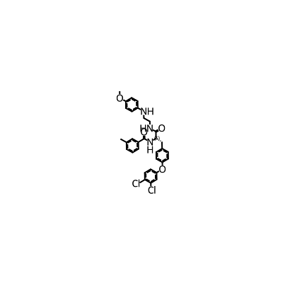 COc1ccc(NCCNC(=O)[C@H](Cc2ccc(Oc3ccc(Cl)c(Cl)c3)cc2)NC(=O)c2cccc(C)c2)cc1